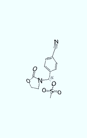 CS(=O)(=O)O[C@@H](c1ccc(C#N)cc1)N1CCOC1=O